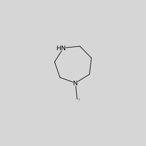 [CH]N1CCCNCC1